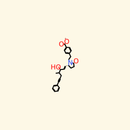 COC(=O)c1ccc(CCN2C(=O)CC[C@@H]2/C=C/[C@H](O)C(C)CC#Cc2ccccc2)cc1